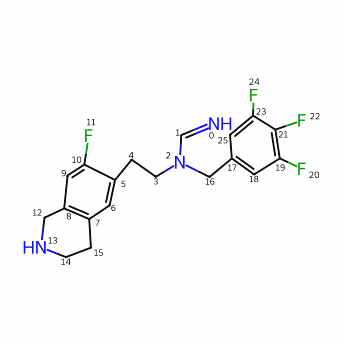 N=CN(CCc1cc2c(cc1F)CNCC2)Cc1cc(F)c(F)c(F)c1